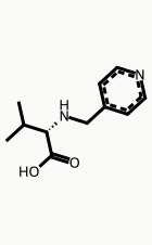 CC(C)[C@H](NCc1ccncc1)C(=O)O